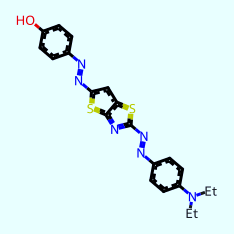 CCN(CC)c1ccc(N=Nc2nc3sc(N=Nc4ccc(O)cc4)cc3s2)cc1